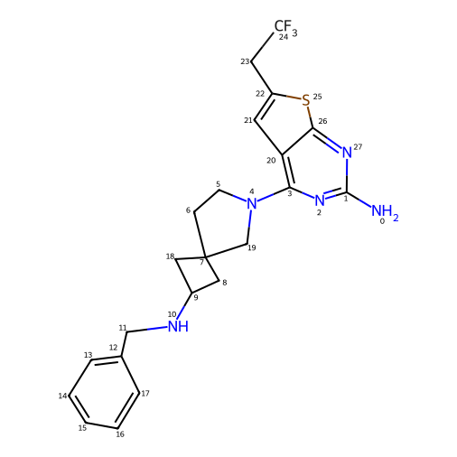 Nc1nc(N2CCC3(CC(NCc4ccccc4)C3)C2)c2cc(CC(F)(F)F)sc2n1